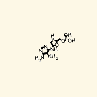 Nc1ncnc(NC2CPC(COP(O)O)O2)c1N